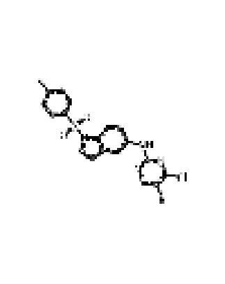 Cc1ccc(S(=O)(=O)n2ccc3cc(Nc4ncc(Br)c(Cl)n4)ccc32)cc1